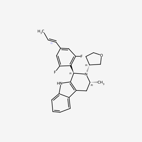 C/C=C/c1cc(F)c([C@@H]2c3[nH]c4ccccc4c3C[C@@H](C)N2[C@@H]2CCOC2)c(F)c1